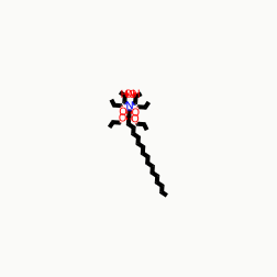 CCCCCCCCCCCCCCCCC(OCCC)(OCCC)C(OCCC)(OCCC)N(CC(C)O)CC(C)O